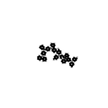 Cc1ccc(N(c2ccc(C)cc2)c2ccc([Si](c3ccccc3)(c3ccccc3)c3ccc(N(c4ccc(C)cc4)c4ccc(C)c(-c5ccc6c(c5)c5ccccc5n6-c5ccc(N(c6ccccc6)c6ccc(-n7c8ccccc8c8ccccc87)cc6)cc5)c4)cc3)cc2)cc1